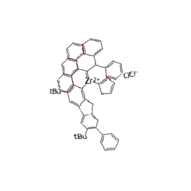 CC(C)(C)c1cc2c(cc1-c1ccccc1)Cc1c-2cc(C(C)(C)C)c(-c2ccccc2)[c]1[Zr+2]([C]1=CC=CC1)=[C](C(c1ccccc1)c1ccccc1)C(c1ccccc1)c1ccccc1.[Cl-].[Cl-]